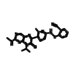 CNc1ncc2nc(-c3ccc(NSc4ccccc4C#N)nc3C)c(=O)n(C(C)C)c2n1